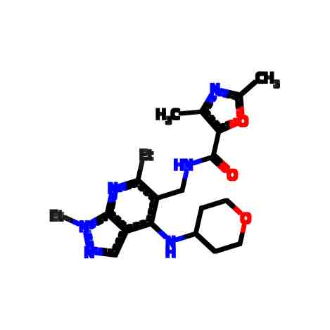 CCc1nc2c(cnn2CC)c(NC2CCOCC2)c1CNC(=O)c1oc(C)nc1C